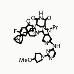 COC1CCN(c2nccc(Nc3cc4c(cn3)c(N3CCC(CN5CC6CC(C5)N6c5cc6c(cc5F)C(=O)N(C5CCC(=O)NC5=O)C6=O)CC3)nn4C(C)C)n2)CC1